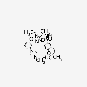 CCn1c(Oc2cccc(N3CCN(C)CC3)c2)nnc1[C@@H](C)NS(=O)(=O)c1ccc2c(c1)CCC(C)(C)O2